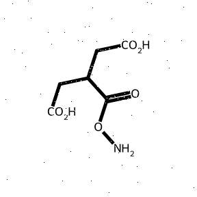 NOC(=O)C(CC(=O)O)CC(=O)O